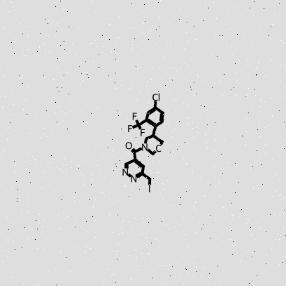 O=C(c1cnnc(CI)c1)N1CCCC(c2ccc(Cl)cc2C(F)(F)F)C1